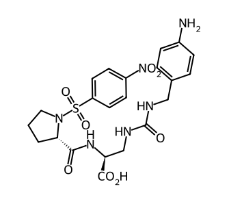 Nc1ccc(CNC(=O)NC[C@H](NC(=O)[C@@H]2CCCN2S(=O)(=O)c2ccc([N+](=O)[O-])cc2)C(=O)O)cc1